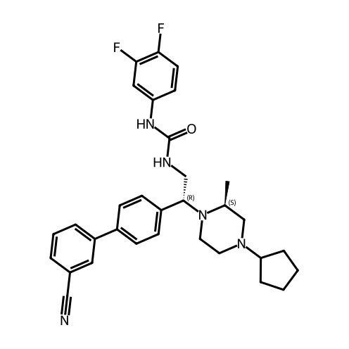 C[C@H]1CN(C2CCCC2)CCN1[C@@H](CNC(=O)Nc1ccc(F)c(F)c1)c1ccc(-c2cccc(C#N)c2)cc1